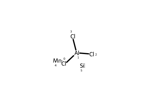 [Cl][Al]([Cl])[Cl].[Mn].[Si]